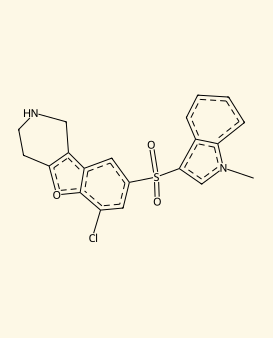 Cn1cc(S(=O)(=O)c2cc(Cl)c3oc4c(c3c2)CNCC4)c2ccccc21